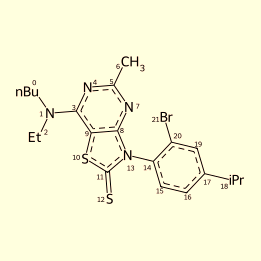 CCCCN(CC)c1nc(C)nc2c1sc(=S)n2-c1ccc(C(C)C)cc1Br